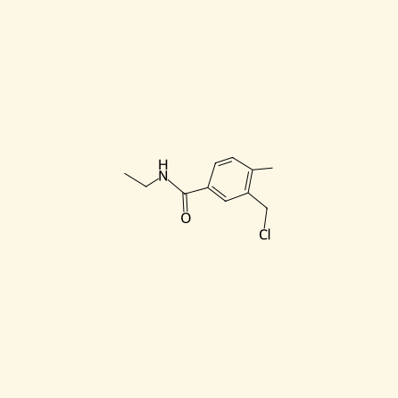 CCNC(=O)c1ccc(C)c(CCl)c1